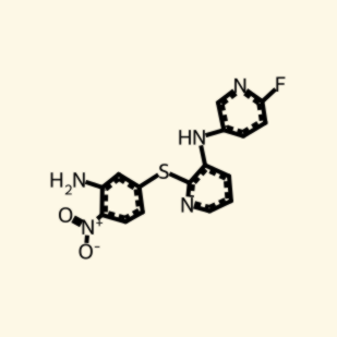 Nc1cc(Sc2ncccc2Nc2ccc(F)nc2)ccc1[N+](=O)[O-]